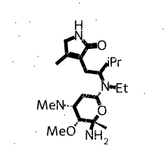 CCN(C(CC1=C(C)CNC1=O)C(C)C)[C@H]1C[C@@H](NC)[C@@H](OC)[C@@](C)(N)O1